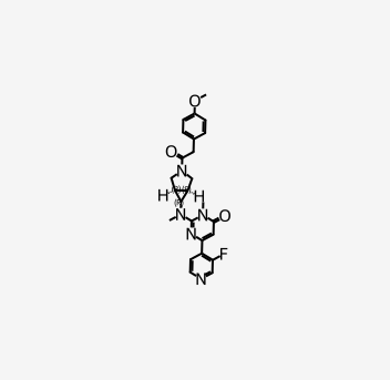 COc1ccc(CC(=O)N2C[C@@H]3[C@H](C2)[C@@H]3N(C)c2nc(-c3ccncc3F)cc(=O)n2C)cc1